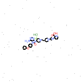 Cl.Nc1ncnc2c1n(-c1ccc(Oc3ccccc3)cc1)c(=O)n2[C@@H]1CCN(CCC2CCN(C3CN(c4cccnc4C(=O)O)C3)CC2)CC1(F)F